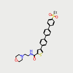 CCS(=O)(=O)c1ccc(-c2ccc(-c3ccc(-c4csc(C(=O)NCCN5CCOCC5)c4)cc3)cc2)cc1